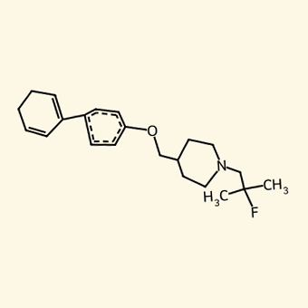 CC(C)(F)CN1CCC(COc2ccc(C3=CCCC=C3)cc2)CC1